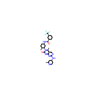 Cc1cc(Nc2ncc3c(C)n(-c4cc(NC(=O)c5cccc(C(F)(F)F)c5)ccc4C)c(=O)nc3n2)ccn1